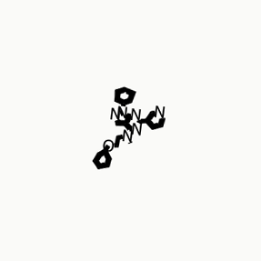 CN(CCOc1ccccc1)c1nc(-c2cccnc2)nc2c1cnn2-c1ccccc1